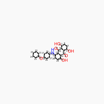 O=C1c2c(O)ccc(O)c2C(=O)c2c(Nc3ccc(Oc4ccccc4)cc3)ccc(O)c21